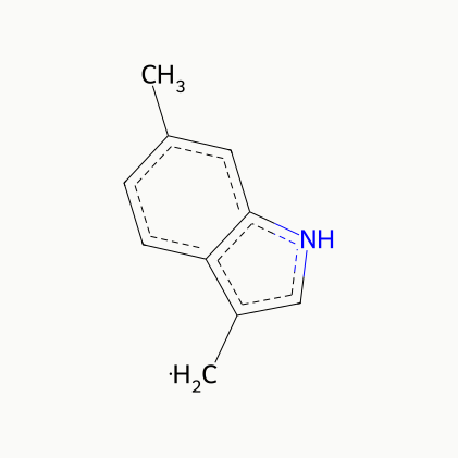 [CH2]c1c[nH]c2cc(C)ccc12